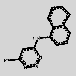 Brc1cc(Nc2cccc3ccccc23)nnn1